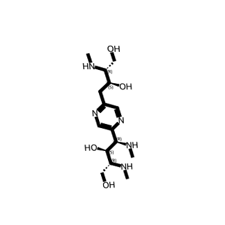 CN[C@H](c1cnc(C[C@H](O)[C@@H](CO)NC)cn1)[C@H](O)[C@@H](CO)NC